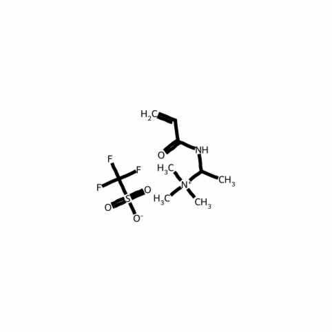 C=CC(=O)NC(C)[N+](C)(C)C.O=S(=O)([O-])C(F)(F)F